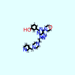 Oc1cccc(-c2nc(N3CCOCC3)c3nnn(CCN4CCN(Cc5cccnc5)CC4)c3n2)c1